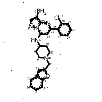 Bc1cnn2c(NC3CCN(Cc4cc5ccccc5o4)CC3)cc(-c3ccccc3Cl)nc12